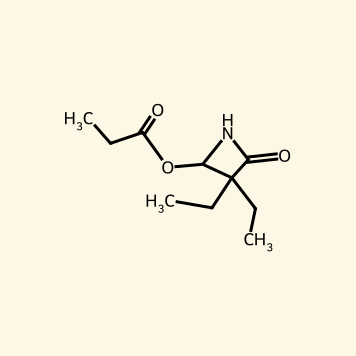 CCC(=O)OC1NC(=O)C1(CC)CC